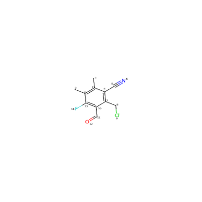 Cc1c(C)c(C#N)c(CCl)c(C=O)c1F